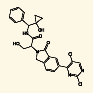 O=C(NC(c1ccccc1)C1(O)CC1)C(CO)N1Cc2ccc(-c3nc(Cl)ncc3Cl)cc2C1=O